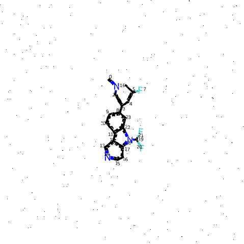 C=N/C=C(\C=C(/C)F)c1ccc2c3cnccc3n(C(F)F)c2c1